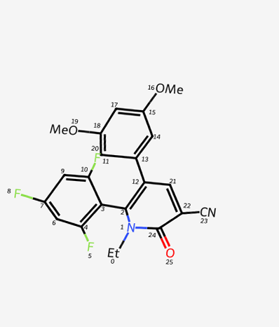 CCn1c(-c2c(F)cc(F)cc2F)c(-c2cc(OC)cc(OC)c2)cc(C#N)c1=O